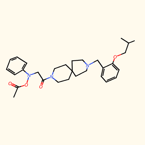 CC(=O)ON(CC(=O)N1CCC2(CCN(Cc3ccccc3OCC(C)C)CC2)CC1)c1ccccc1